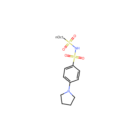 CCCCCCCCS(=O)(=O)NS(=O)(=O)c1ccc(N2CCCC2)cc1